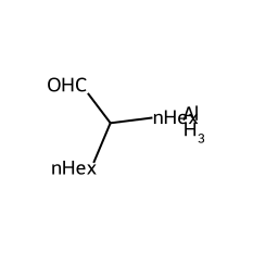 CCCCCCC(C=O)CCCCCC.[AlH3]